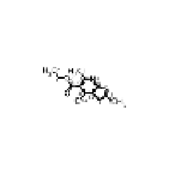 CCOC(=O)c1c(C)nc2sc(C)cc2c1Cl